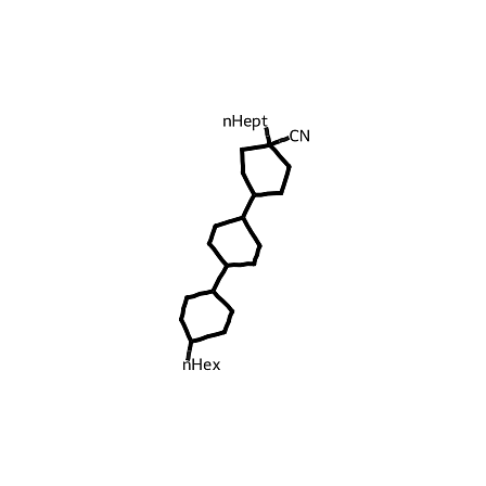 CCCCCCCC1(C#N)CCC(C2CCC(C3CCC(CCCCCC)CC3)CC2)CC1